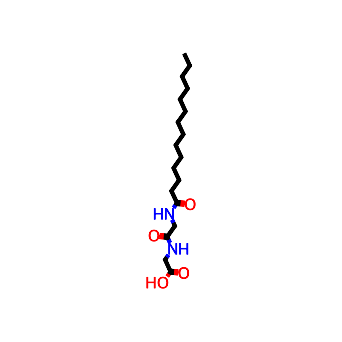 CCCCCCCCCCCCCC(=O)NCC(=O)NCC(=O)O